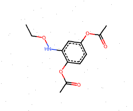 CCONc1cc(OC(C)=O)ccc1OC(C)=O